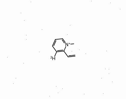 [2H]c1ccc[n+](C)c1C=C